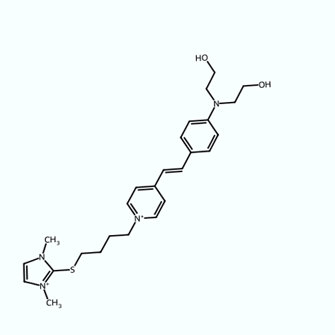 Cn1cc[n+](C)c1SCCCC[n+]1ccc(/C=C/c2ccc(N(CCO)CCO)cc2)cc1